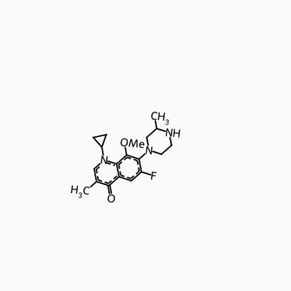 COc1c(N2CCNC(C)C2)c(F)cc2c(=O)c(C)cn(C3CC3)c12